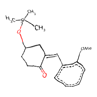 COc1ccccc1C=C1CC(O[Si](C)(C)C)CCC1=O